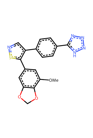 COc1cc(-c2sncc2-c2ccc(-c3nnn[nH]3)cc2)cc2c1OCO2